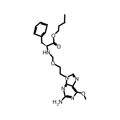 CCCCOC(=O)[C@H](Cc1ccccc1)NCOCCn1cnc2c(OC)nc(N)nc21